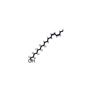 CC/C=C\C=C/CCCCCCCCCCCCO